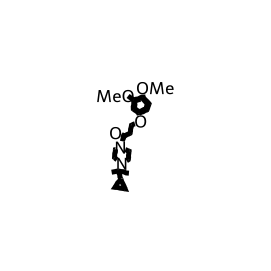 COc1ccc(OCCC(=O)N2CCN(C(C)(C)C3CC3)CC2)cc1OC